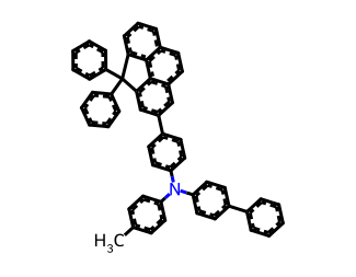 Cc1ccc(N(c2ccc(-c3ccccc3)cc2)c2ccc(-c3cc4c5c(ccc6cccc(c65)C4(c4ccccc4)c4ccccc4)c3)cc2)cc1